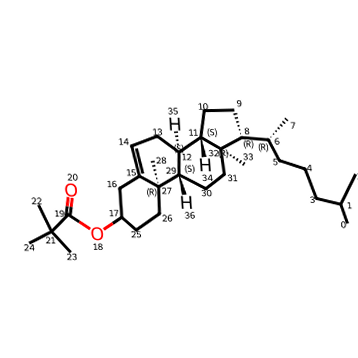 CC(C)CCC[C@@H](C)[C@H]1CC[C@H]2[C@@H]3CC=C4CC(OC(=O)C(C)(C)C)CC[C@]4(C)[C@H]3CC[C@]12C